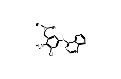 CC(C)N(Cc1cc(Nc2ncnc3ccccc23)cc(Cl)c1N)C(C)C